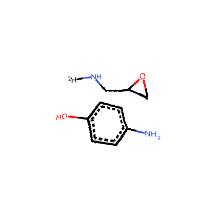 Nc1ccc(O)cc1.[2H]NCC1CO1